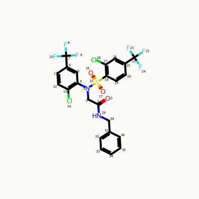 O=C(CN(c1cc(C(F)(F)F)ccc1Cl)S(=O)(=O)c1ccc(C(F)(F)F)cc1Cl)NCc1ccccc1